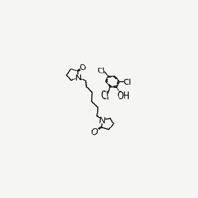 O=C1CCCN1CCCCCCN1CCCC1=O.Oc1c(Cl)cc(Cl)cc1Cl